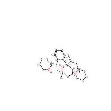 C=C(C[SiH]1CCCCO1)[Si]1(c2ccccc2C[SiH]2CCCCO2)CCCC(C)(C)O1